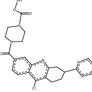 CCCOC(=O)N1CCN(C(=O)c2ccc3c(Cl)c4c(nc3c2)CC(c2ccccn2)CC4)CC1